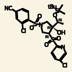 C[C@H](O[Si](C)(C)C(C)(C)C)[C@]1(O)CN(S(=O)(=O)c2ccc(C#N)cc2Cl)C[C@@H]1S(=O)(=O)c1ccc(Cl)cn1